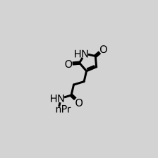 [CH2]CCNC(=O)CCC1=CC(=O)NC1=O